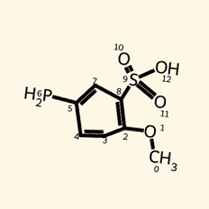 COc1ccc(P)cc1S(=O)(=O)O